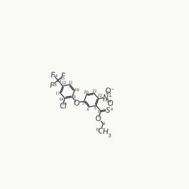 CCOC(=S)c1cc(Oc2ccc(C(F)(F)F)cc2Cl)ccc1[N+](=O)[O-]